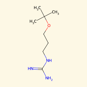 CC(C)(C)OCCCNC(=N)N